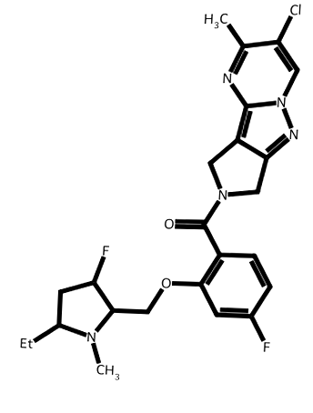 CCC1CC(F)C(COc2cc(F)ccc2C(=O)N2Cc3nn4cc(Cl)c(C)nc4c3C2)N1C